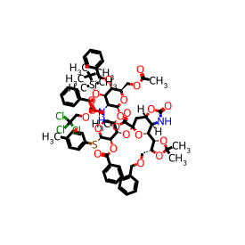 COC(=O)[C@@]1(O[C@H]2[C@@H](O[C@@H]3O[C@H](COC(C)=O)[C@H](OCc4ccccc4)[C@H](O[Si](C)(C)C(C)(C)C)[C@H]3NC(=O)OCC(Cl)(Cl)Cl)[C@@H](COCc3ccccc3)O[C@@H](Sc3ccc(C)cc3)[C@@H]2OC(=O)c2ccccc2)C[C@@H]2OC(=O)N[C@H]2[C@H]([C@@H]2OC(C)(C)O[C@@H]2COCc2ccccc2)O1